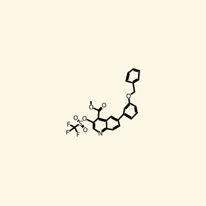 COC(=O)c1c(OS(=O)(=O)C(F)(F)F)cnc2ccc(-c3cccc(OCc4ccccc4)c3)cc12